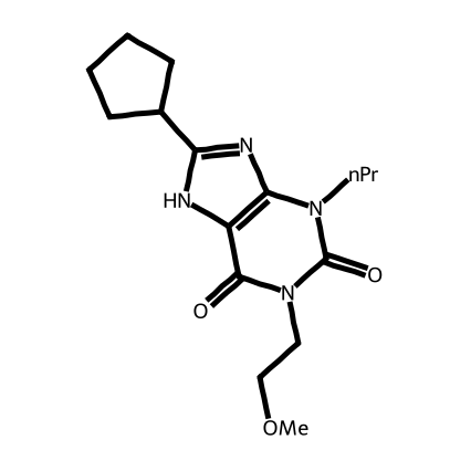 CCCn1c(=O)n(CCOC)c(=O)c2[nH]c(C3CCCC3)nc21